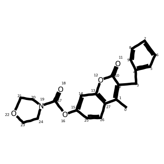 Cc1c(Cc2ccccc2)c(=O)oc2cc(OC(=O)N3CCOCC3)ccc12